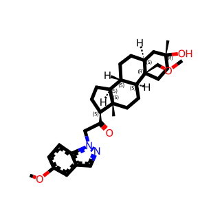 COC[C@]12CC[C@@](C)(O)C[C@@H]1CC[C@H]1[C@@H]3CC[C@H](C(=O)Cn4ncc5cc(OC)ccc54)[C@@]3(C)CC[C@@H]12